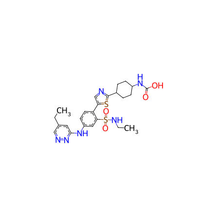 CCNS(=O)(=O)c1cc(Nc2cc(CC)cnn2)ccc1-c1cnc(C2CCC(NC(=O)O)CC2)s1